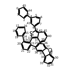 c1ccc(-c2cccc(-c3sc(-c4c(-c5ccccc5)cccc4-c4ccc5oc6ccccc6c5c4)c4ccccc34)c2)cc1